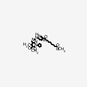 COC(=O)CCCCCCNC(=O)c1ccc(Nc2ncc3c(C)c(C(C)=O)c(=O)n(C4CCCC4)c3n2)nc1